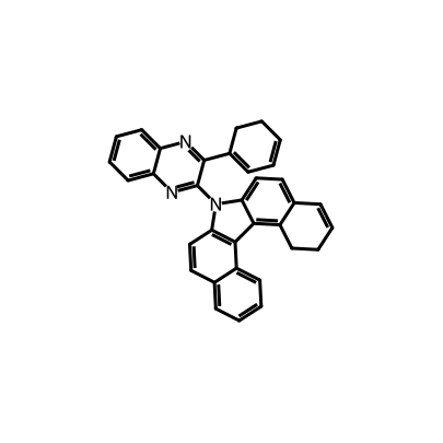 C1=CCCC(c2nc3ccccc3nc2-n2c3ccc4c(c3c3c5ccccc5ccc32)CCC=C4)=C1